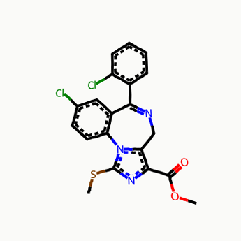 COC(=O)c1nc(SC)n2c1CN=C(c1ccccc1Cl)c1cc(Cl)ccc1-2